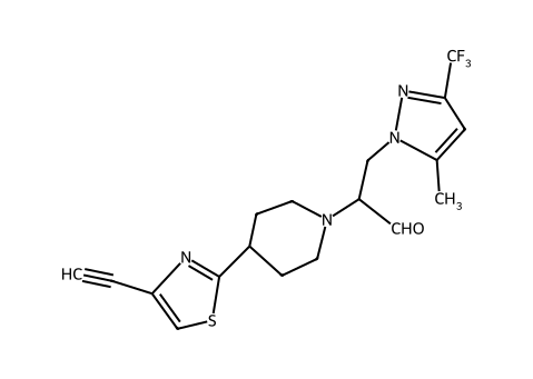 C#Cc1csc(C2CCN(C(C=O)Cn3nc(C(F)(F)F)cc3C)CC2)n1